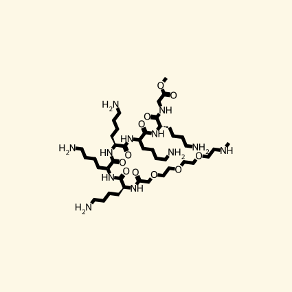 CNCCOCCOCCOCC(=O)N[C@@H](CCCCN)C(=O)NC(CCCCN)C(=O)N[C@@H](CCCCN)C(=O)NC(CCCCN)C(=O)N[C@@H](CCCCN)C(=O)NCC(=O)OC